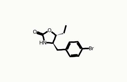 CC[C@H]1OC(=O)N[C@@H]1Cc1ccc(Br)cc1